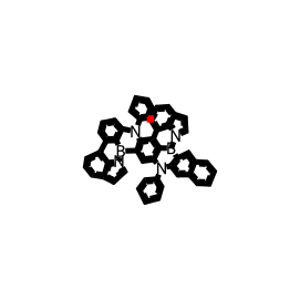 c1ccc(N2c3cc4ccccc4cc3B3c4c2cc2c(c4-c4cccc5ccn3c45)N(c3ccccc3)c3cccc4c3B2n2ccc3cccc-4c32)cc1